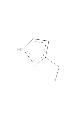 CCc1[c]c[nH]n1